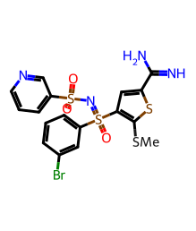 CSc1sc(C(=N)N)cc1S(=O)(=NS(=O)(=O)c1cccnc1)c1cccc(Br)c1